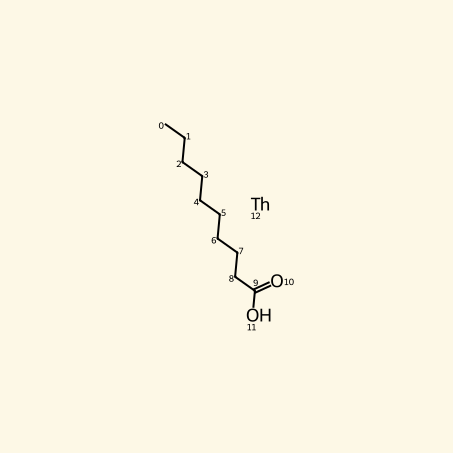 CCCCCCCCCC(=O)O.[Th]